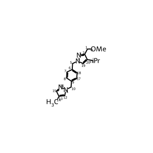 COCc1nn(Cc2ccc(Cn3cc(C)cn3)cc2)cc1C(C)C